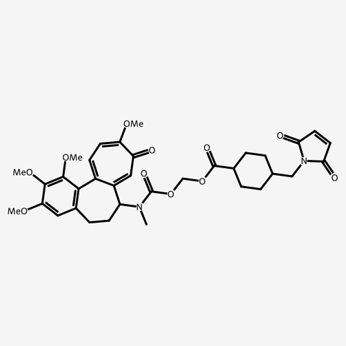 COc1cc2c(c(OC)c1OC)-c1ccc(OC)c(=O)cc1C(N(C)C(=O)OCOC(=O)C1CCC(CN3C(=O)C=CC3=O)CC1)CC2